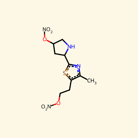 Cc1nc(C2CC(O[N+](=O)[O-])CN2)sc1CCO[N+](=O)[O-]